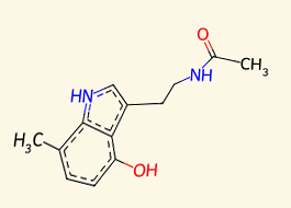 CC(=O)NCCc1c[nH]c2c(C)ccc(O)c12